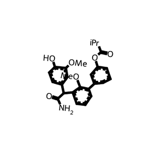 COc1cc(C(C(N)=O)c2cccc(-c3cccc(OC(=O)C(C)C)c3)c2OC)ccc1O